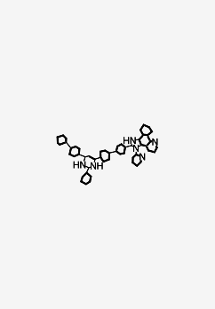 C1=C(c2ccc(-c3ccc(C4Nc5c(c6cccnc6c6ccccc56)N4c4ccccn4)cc3)cc2)NC(c2ccccc2)NC1c1ccc(-c2ccccc2)cc1